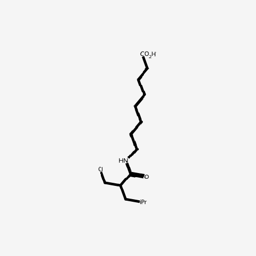 CC(C)CC(CCl)C(=O)NCCCCCCCC(=O)O